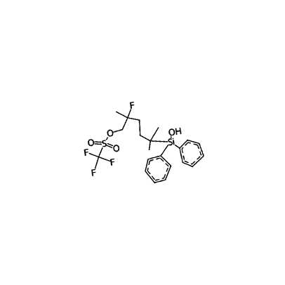 CC(F)(CCC(C)(C)[Si](O)(c1ccccc1)c1ccccc1)COS(=O)(=O)C(F)(F)F